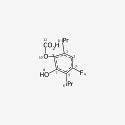 CC(C)c1cc(F)c(C(C)C)c(O)c1OC(=O)O